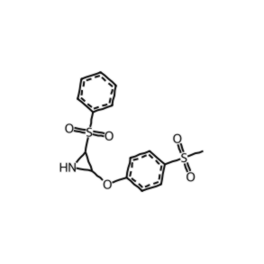 CS(=O)(=O)c1ccc(OC2NC2S(=O)(=O)c2ccccc2)cc1